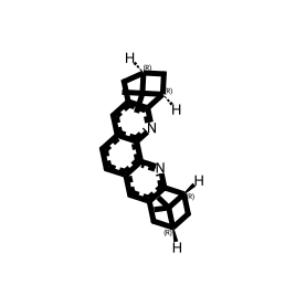 CC1(C)[C@H]2Cc3cc4ccc5cc6c(nc5c4nc3[C@@H]1C2)[C@@H]1C[C@H](C6)C1(C)C